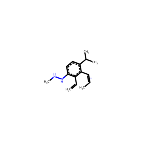 C=Cc1c(NNC)ccc(C(C)C)c1/C=C\C